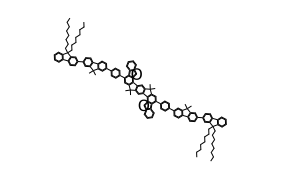 CCCCCCCCC1(CCCCCCCC)c2ccccc2-c2ccc(-c3ccc4c(c3)C(C)(C)c3cc(-c5ccc(-c6cc7c(c8oc9ccccc9c68)-c6cc8c(cc6C7(C)C)-c6c(cc(-c7ccc(-c9ccc%10c(c9)C(C)(C)c9cc(-c%11ccc%12c(c%11)C(CCCCCCCC)(CCCCCCCC)c%11ccccc%11-%12)ccc9-%10)cc7)c7c6oc6ccccc67)C8(C)C)cc5)ccc3-4)cc21